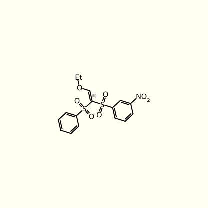 CCO/C=C(\S(=O)(=O)c1ccccc1)S(=O)(=O)c1cccc([N+](=O)[O-])c1